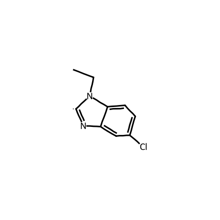 CCn1[c]nc2cc(Cl)ccc21